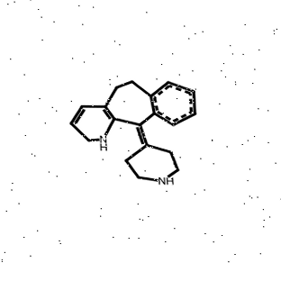 C1=CC2=C(NC1)C(=C1CCNCC1)c1ccccc1CC2